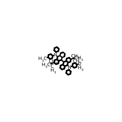 Cc1ccc(N(C2=c3cc(C(C)(C)C)ccc3=C(c3c4ccccc4c(N(c4ccccc4)c4ccc(C)cc4)c4cc(C(C)(C)C)ccc34)C3C=CC=CC23)c2ccccc2)cc1